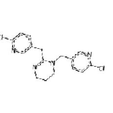 Clc1ccc(CC2=NCCCN2Cc2ccc(Cl)nc2)cn1